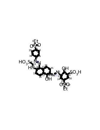 CCS(=O)(=O)c1ccc(/N=N/c2c(NCS(=O)(=O)O)ccc3c(O)c(/N=N/c4cc(S(=O)(=O)CC)cc(S(=O)(=O)O)c4O)ccc23)cc1